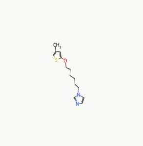 Cc1csc(OCCCCCCn2ccnc2)c1